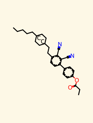 CCCCCC12CCC(CCc3ccc(-c4ccc(OC(=O)CC)cc4)c(C#N)c3C#N)(CC1)CC2